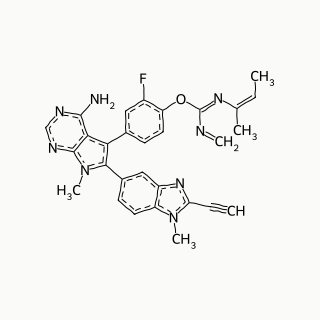 C#Cc1nc2cc(-c3c(-c4ccc(O/C(N=C)=N/C(C)=C\C)c(F)c4)c4c(N)ncnc4n3C)ccc2n1C